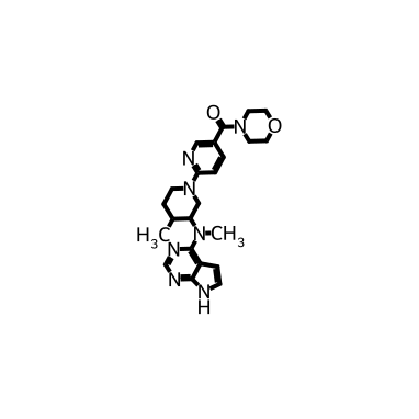 CC1CCN(c2ccc(C(=O)N3CCOCC3)cn2)CC1N(C)c1ncnc2[nH]ccc12